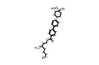 CCCCCC[C@]1(C#N)CC[C@H](c2ccc(-c3ccc(C(=O)OCC[C@H](C)CCCC(C)C)cc3)cc2)CC1